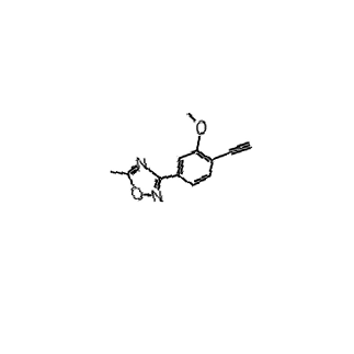 C#Cc1ccc(-c2noc(C)n2)cc1OC